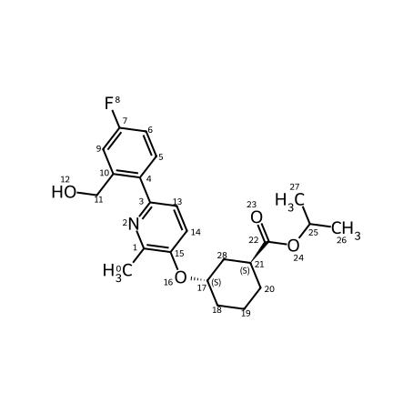 Cc1nc(-c2ccc(F)cc2CO)ccc1O[C@H]1CCC[C@H](C(=O)OC(C)C)C1